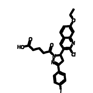 CCOc1ccc2cc(C3CC(c4ccc(I)cc4)=NN3C(=O)CCCC(=O)O)c(Cl)nc2c1